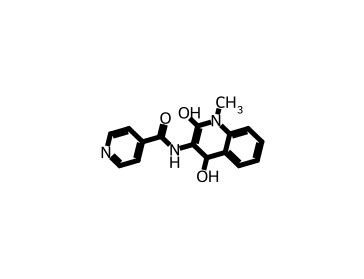 CN1C(O)=C(NC(=O)c2ccncc2)C(O)c2ccccc21